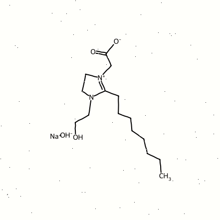 CCCCCCCCC1=[N+](CC(=O)[O-])CCN1CCO.[Na+].[OH-]